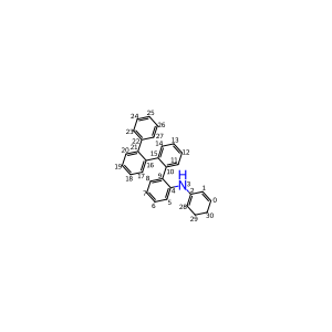 C1=CC(Nc2ccccc2-c2ccccc2-c2ccccc2-c2ccccc2)=CCC1